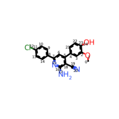 COc1cc(-c2cc(-c3ccc(Cl)cc3)nc(N)c2C#N)ccc1O